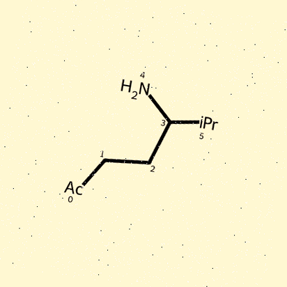 CC(=O)CCC(N)C(C)C